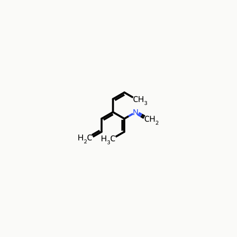 C=C/C=C(/C=C\C)C(=C/C)\N=C